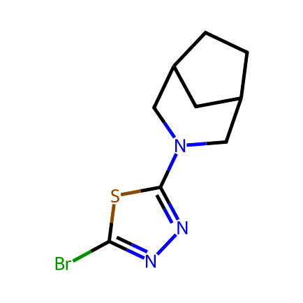 Brc1nnc(N2CC3CCC(C3)C2)s1